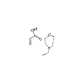 C=CC(=O)O.CCN1CCOCC1